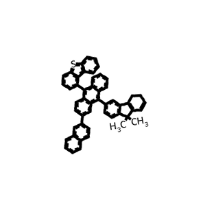 CC1(C)C2=C(CCC=C2)c2cc(-c3c4ccccc4c(-c4cccc5sc6ccccc6c45)c4ccc(-c5ccc6ccccc6c5)cc34)ccc21